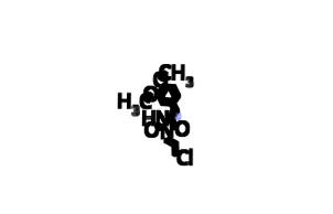 COc1ccc(/C=C2\NC(=O)N(CCCCl)C2=O)cc1OC